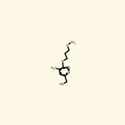 COCCCOc1nnc(CO)cc1C